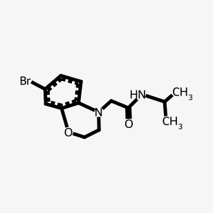 CC(C)NC(=O)CN1CCOc2cc(Br)ccc21